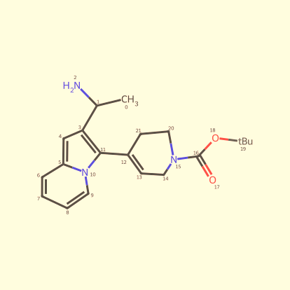 CC(N)c1cc2ccccn2c1C1=CCN(C(=O)OC(C)(C)C)CC1